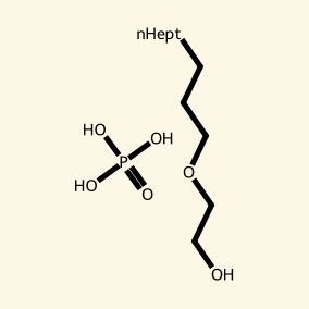 CCCCCCCCCCOCCO.O=P(O)(O)O